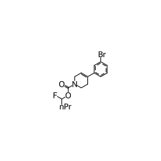 CCCC(F)OC(=O)N1CC=C(c2cccc(Br)c2)CC1